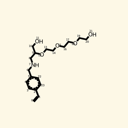 C=Cc1ccc(CNCC(CO)OCCOCCOCCO)cc1